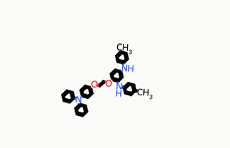 Cc1ccc(Nc2ccc(OCCOc3ccc(N(c4ccccc4)c4ccccc4)cc3)c(Nc3ccc(C)cc3)c2)cc1